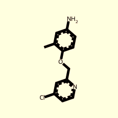 Cc1cc(N)ccc1OCc1cc(Cl)ccn1